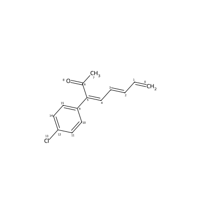 C=CC=CC=C(C(C)=O)c1ccc(Cl)cc1